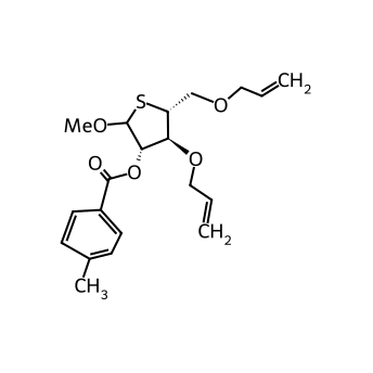 C=CCOC[C@H]1SC(OC)[C@@H](OC(=O)c2ccc(C)cc2)[C@@H]1OCC=C